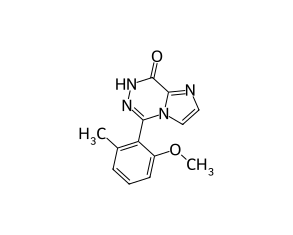 COc1cccc(C)c1-c1n[nH]c(=O)c2nccn12